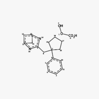 O=C(O)OO.c1ccc(C2(Cc3nc4cc(n3)C4)CCCC2)cc1